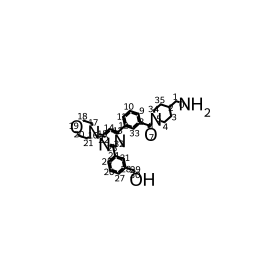 NCC1CCN(C(=O)c2cccc(-c3cc(N4CCOCC4)nc(-c4cccc(CO)c4)n3)c2)CC1